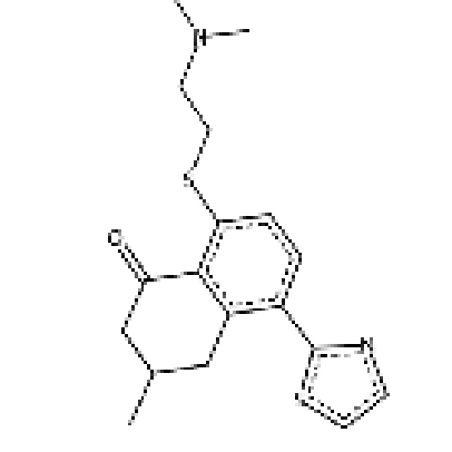 CC1CC(=O)c2c(SCCN(C)C)ccc(-c3nccs3)c2C1